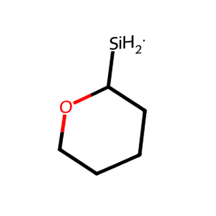 [SiH2]C1CCCCO1